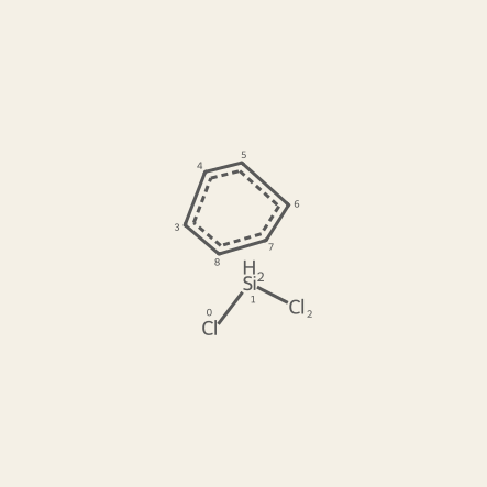 Cl[SiH2]Cl.c1ccccc1